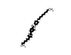 CCCCCCCCCC[C@H]1CC[C@H](OC(=O)c2ccc(-c3ncc(CCCCCCC)cn3)cc2F)CC1